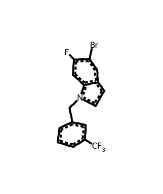 Fc1cc2c(ccn2Cc2cccc(C(F)(F)F)c2)cc1Br